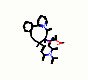 C=NC1(C)CC(=C)[n+]2ccccc2-c2ccccc2CCC1(C)/C(C)=C/C(=C)N(C(=C)C)C(=C)/C=C\C(=C)OC